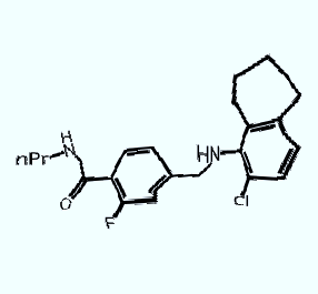 CCCNC(=O)c1ccc(CNc2c(Cl)ccc3c2CCCCC3)cc1F